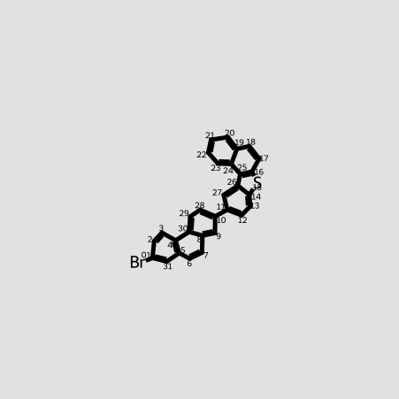 Brc1ccc2c(ccc3cc(-c4ccc5sc6ccc7ccccc7c6c5c4)ccc32)c1